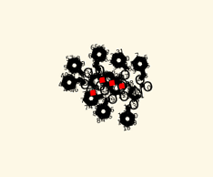 O=C(OCc1ccccc1)N1C[C@@H](OCc2ccccc2)[C@H](O[C@H]2O[C@H](COCc3ccccc3)[C@@H](O[C@@H]3O[C@H](CF)[C@@H](OCc4ccccc4)[C@H](OCc4ccccc4)[C@H]3OCc3ccccc3)[C@H](OCc3ccccc3)[C@H]2OCc2ccccc2)[C@H]1COCc1ccccc1